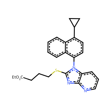 CCOC(=O)CCCSc1nc2ncccc2n1-c1ccc(C2CC2)c2ccccc12